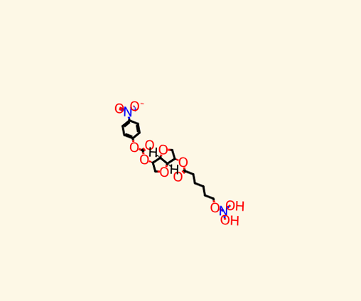 O=C(CCCCCON(O)O)O[C@@H]1CO[C@H]2[C@@H]1OC[C@H]2OC(=O)Oc1ccc([N+](=O)[O-])cc1